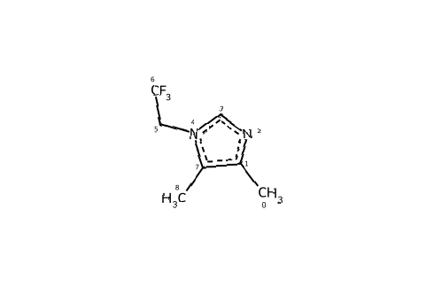 Cc1n[c]n(CC(F)(F)F)c1C